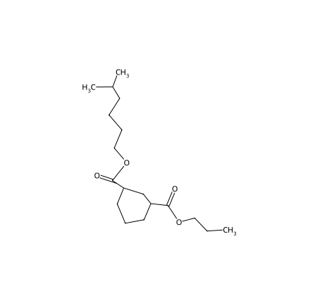 CCCOC(=O)C1CCCC(C(=O)OCCCCC(C)C)C1